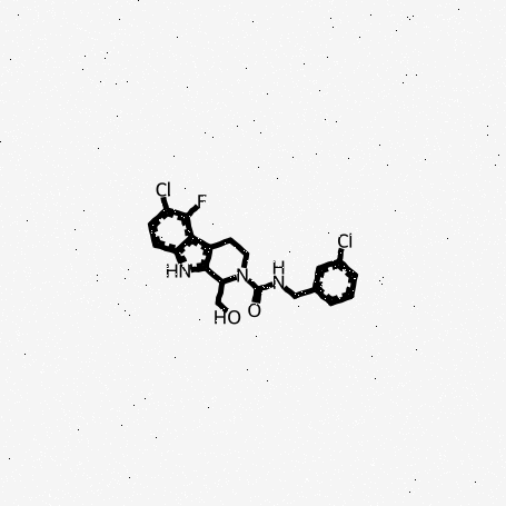 O=C(NCc1cccc(Cl)c1)N1CCc2c([nH]c3ccc(Cl)c(F)c23)C1CO